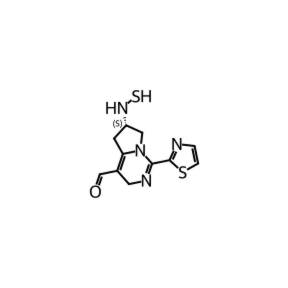 O=CC1=C2C[C@H](NS)CN2C(c2nccs2)=NC1